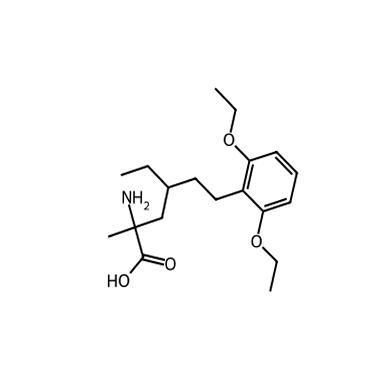 CCOc1cccc(OCC)c1CCC(CC)CC(C)(N)C(=O)O